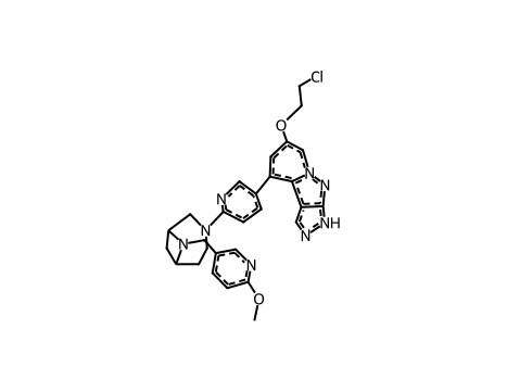 COc1ccc(CN2C3CCN(c4ccc(-c5cc(OCCCl)cn6nc7[nH]ncc7c56)cn4)CC2C3)cn1